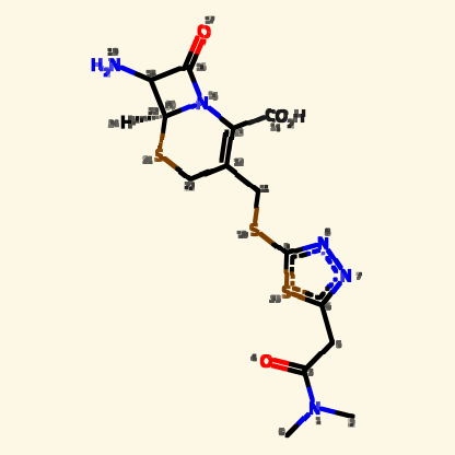 CN(C)C(=O)Cc1nnc(SCC2=C(C(=O)O)N3C(=O)C(N)[C@@H]3SC2)s1